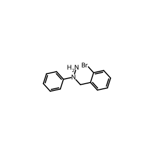 NN(Cc1ccccc1Br)c1ccccc1